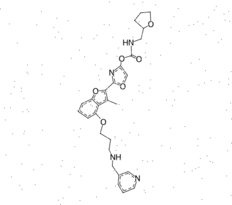 Cc1c(-c2nc(OC(=O)NCC3CCCO3)co2)oc2cccc(OCCCNCc3cccnc3)c12